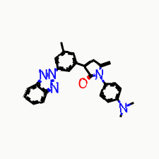 C=C1CC(c2cc(C)cc(-n3nc4ccccc4n3)c2)C(=O)N1c1ccc(N(C)C)cc1